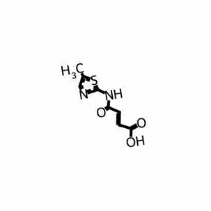 Cc1cnc(NC(=O)/C=C/C(=O)O)s1